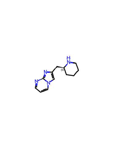 c1cnc2nc(C[C@@H]3CCCCN3)cn2c1